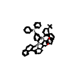 CC(C)(C)c1ccc(N2c3cc(N(c4ccccc4)c4ccccc4)ccc3B3c4c(cc5oc6ccccc6c5c42)-c2cccc4c5c6ccccc6ccc5n3c24)c(-c2ccccc2)c1